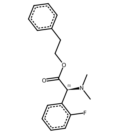 CN(C)[C@H](C(=O)OCCc1ccccc1)c1ccccc1F